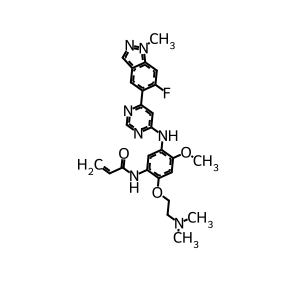 C=CC(=O)Nc1cc(Nc2cc(-c3cc4cnn(C)c4cc3F)ncn2)c(OC)cc1OCCN(C)C